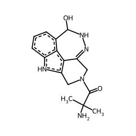 CC(C)(N)C(=O)N1CC2=NNC(O)c3cccc4[nH]c(c2c34)C1